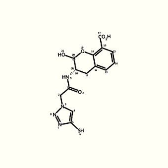 O=C(Cn1cc(S)nn1)N[C@H]1Cc2cccc(C(=O)O)c2OB1O